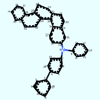 c1ccc(-c2ccc(N(c3ccccc3)c3ccc4c(ccc5ccc6c7ccccc7ccc6c54)c3)cc2)cc1